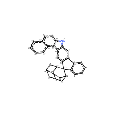 c1ccc2c(c1)-c1cc3[nH]c4ccc5ccccc5c4c3cc1C21C2CC3CC(C2)CC1C3